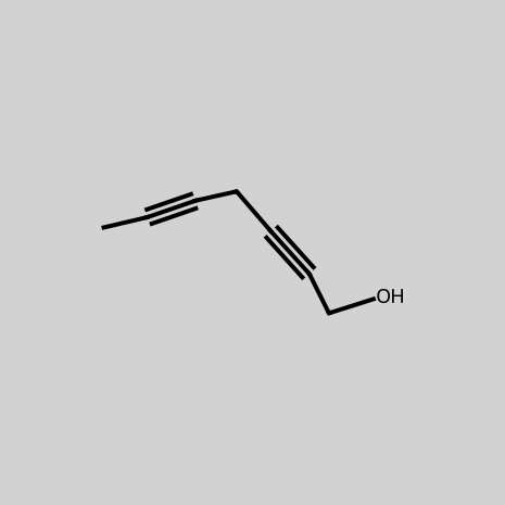 CC#CCC#CCO